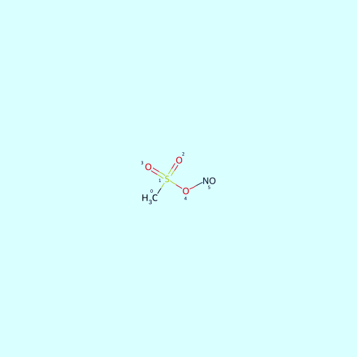 CS(=O)(=O)ON=O